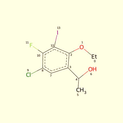 CCOc1c(C(C)O)cc(Cl)c(F)c1I